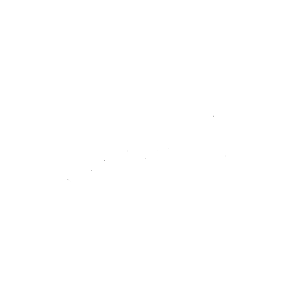 COc1ccc2c(c1)CCC1C2CC[C@]2(C)C(NCCCNCCCO)CCC12